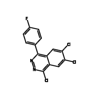 Fc1ccc(-c2nnc(Cl)c3cc(Cl)c(Cl)cc23)cc1